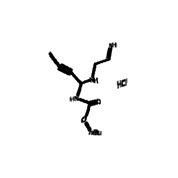 CC#CC(NCC=N)NC(=O)OCCCC.Cl